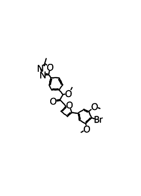 COc1cc(-c2ccc(C(=O)C(OC)c3ccc(-c4nnc(C)o4)cc3)o2)cc(OC)c1Br